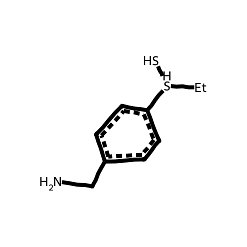 CC[SH](S)c1ccc(CN)cc1